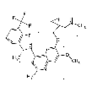 CNCC1(COc2cc3c(N[C@H](C)c4cccc(C(F)(F)F)c4F)nc(C)nc3cc2OC)CC1